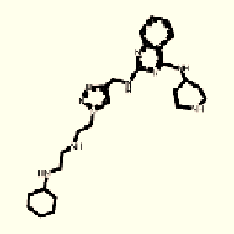 c1ccc2c(NC3CCNCC3)nc(NCc3cn(CCNCCNC4CCCCC4)nn3)nc2c1